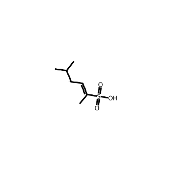 C/C(=C\[CH]C(C)C)S(=O)(=O)O